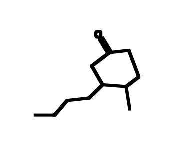 CCCCC1CC(=O)CCC1C